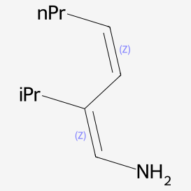 CCC/C=C\C(=C/N)C(C)C